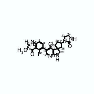 CN(C)C(=O)c1c(N)ccc(-c2cnc3c(c2Cl)C2(CCC(N4CCNC4=O)C2)CN3)c1F